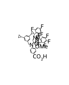 COc1cc(C(=O)O)ccc1N(Cc1cc(C2CC2)cc(C2CC2)c1)C(=O)CN(Cc1c(F)cc(F)cc1F)S(=O)(=O)c1c(F)c(F)c(F)c(F)c1F